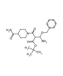 CC(C)(C)OC(=O)C(C(=O)N1CCC(C(N)=O)CC1)C(N)OCc1ccccc1